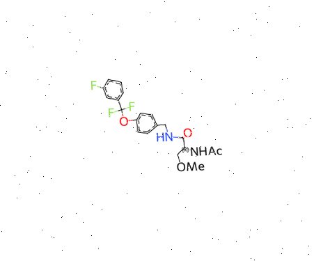 COC[C@@H](NC(C)=O)C(=O)NCc1ccc(OC(F)(F)c2cccc(F)c2)cc1